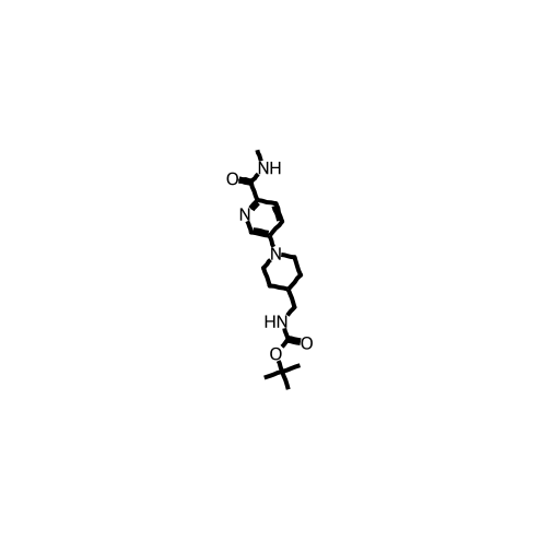 CNC(=O)c1ccc(N2CCC(CNC(=O)OC(C)(C)C)CC2)cn1